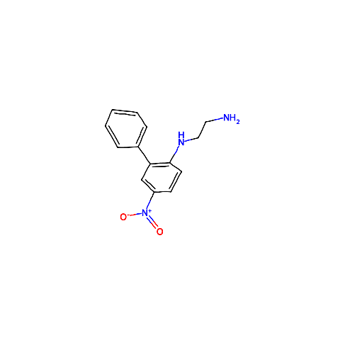 NCCNc1ccc([N+](=O)[O-])cc1-c1ccccc1